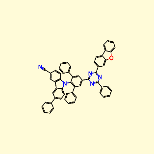 N#Cc1ccc2c(c1)c1cc(-c3ccccc3)ccc1n2-c1c(-c2ccccc2)cc(-c2nc(-c3ccccc3)nc(-c3ccc4c(c3)oc3ccccc34)n2)cc1-c1ccccc1